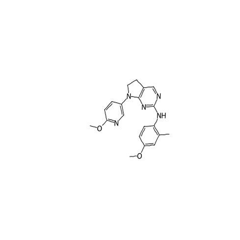 COc1ccc(Nc2ncc3c(n2)N(c2ccc(OC)nc2)CC3)c(C)c1